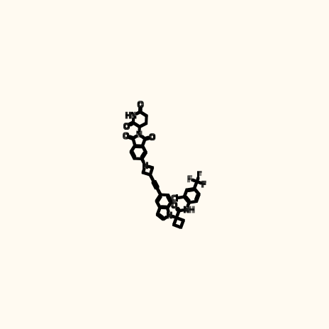 O=C1CCC(N2C(=O)c3ccc(N4CC(C#Cc5ccc6c(ccn6C6(C(=O)Nc7ccc(C(F)(F)F)cc7Cl)CCC6)c5)C4)cc3C2=O)C(=O)N1